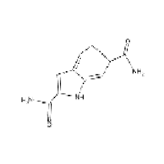 NC(=O)c1cc2c([nH]1)=CC(C(N)=O)CC=2